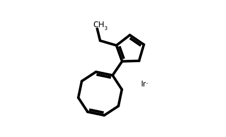 CCC1=C(C2=CCCC=CCC2)CC=C1.[Ir]